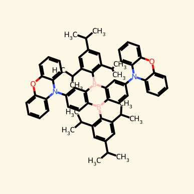 CC(C)c1cc(C(C)C)c(B2c3ccc(N4c5ccccc5Oc5ccccc54)cc3B(c3c(C(C)C)cc(C(C)C)cc3C(C)C)c3cc(N4c5ccccc5Oc5ccccc54)ccc32)c(C(C)C)c1